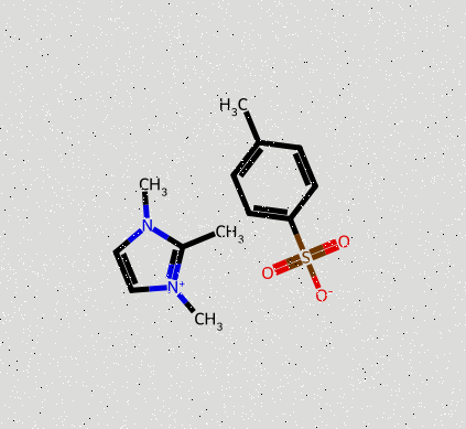 Cc1ccc(S(=O)(=O)[O-])cc1.Cc1n(C)cc[n+]1C